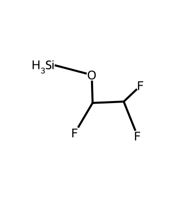 FC(F)C(F)O[SiH3]